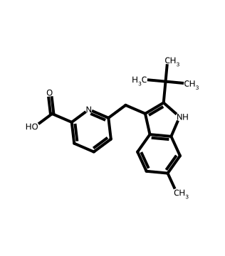 Cc1ccc2c(Cc3cccc(C(=O)O)n3)c(C(C)(C)C)[nH]c2c1